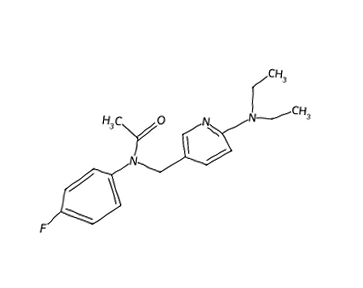 CCN(CC)c1ccc(CN(C(C)=O)c2ccc(F)cc2)cn1